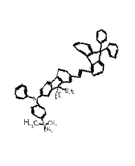 CCC1(CC)c2cc(/C=C/c3cccc4c3-c3ccccc3C4(c3ccccc3)c3ccccc3)ccc2-c2ccc(N(c3ccccc3)c3ccc([Si](C)(C)C)cc3)cc21